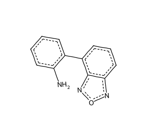 Nc1ccccc1-c1cccc2nonc12